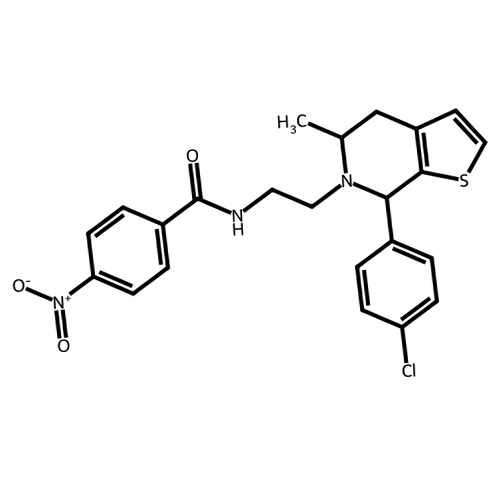 CC1Cc2ccsc2C(c2ccc(Cl)cc2)N1CCNC(=O)c1ccc([N+](=O)[O-])cc1